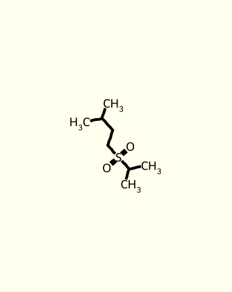 CC(C)CCS(=O)(=O)C(C)C